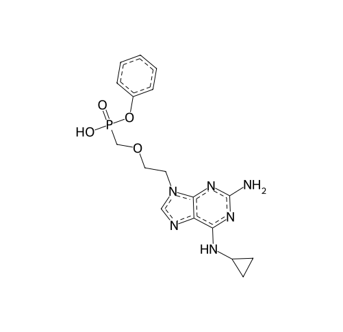 Nc1nc(NC2CC2)c2ncn(CCOCP(=O)(O)Oc3ccccc3)c2n1